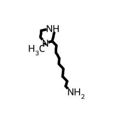 CN1CCNCC1CCCCCCCCN